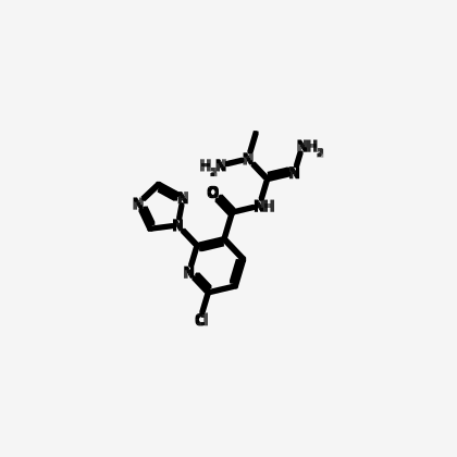 CN(N)/C(=N\N)NC(=O)c1ccc(Cl)nc1-n1cncn1